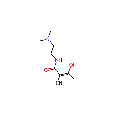 C/C(O)=C(\C#N)C(=O)NCCN(C)C